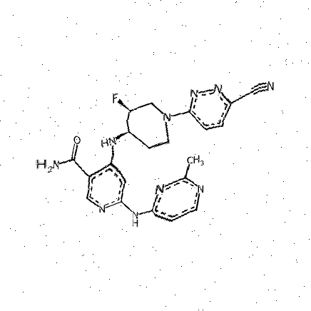 Cc1nccc(Nc2cc(N[C@@H]3CCN(c4ccc(C#N)nn4)C[C@@H]3F)c(C(N)=O)cn2)n1